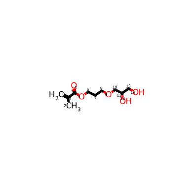 C=C(C)C(=O)OCCCOCC(O)CO